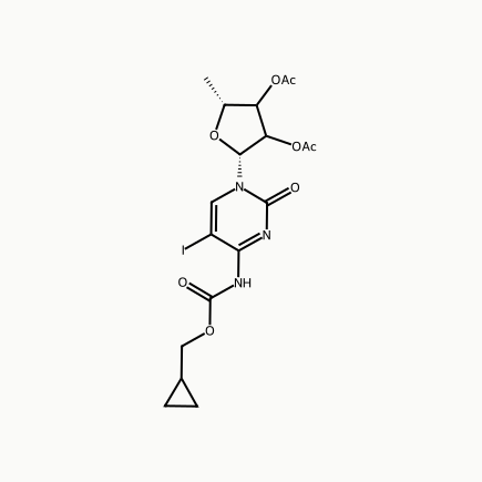 CC(=O)OC1C(OC(C)=O)[C@@H](C)O[C@H]1n1cc(I)c(NC(=O)OCC2CC2)nc1=O